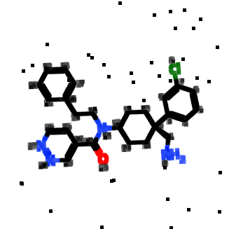 NC[C@]1(c2cccc(Cl)c2)CC[C@H](N(CCc2ccccc2)C(=O)c2ccnnc2)CC1